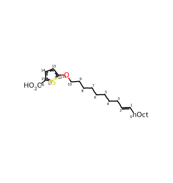 CCCCCCCC/C=C/CCCCCCCCOc1ccc(C(=O)O)s1